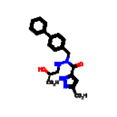 O=C(O)c1cc(C(=O)N(Cc2ccc(-c3ccccc3)cc2)NC[C@@H](O)C(=O)O)[nH]n1